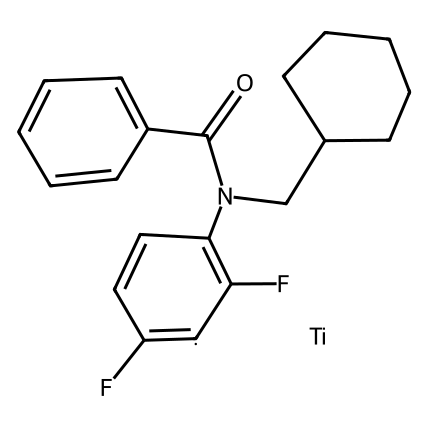 O=C(c1ccccc1)N(CC1CCCCC1)c1ccc(F)[c]c1F.[Ti]